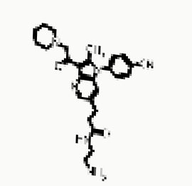 Cc1c(C(=O)CN2CCCCC2)c2ncc(CCC(=O)NCCN)cc2n1-c1ccc(C#N)cc1